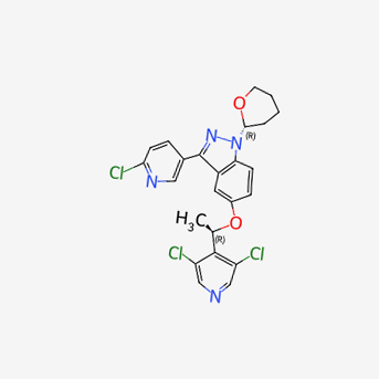 C[C@@H](Oc1ccc2c(c1)c(-c1ccc(Cl)nc1)nn2[C@H]1CCCCO1)c1c(Cl)cncc1Cl